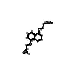 COCCOc1cccc2c(OCC3CO3)cccc12